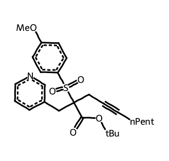 CCCCCC#CCC(Cc1cccnc1)(C(=O)OC(C)(C)C)S(=O)(=O)c1ccc(OC)cc1